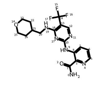 NC(=O)c1ncccc1Nc1ncc(C(F)(F)F)c(NCC2CCOCC2)n1